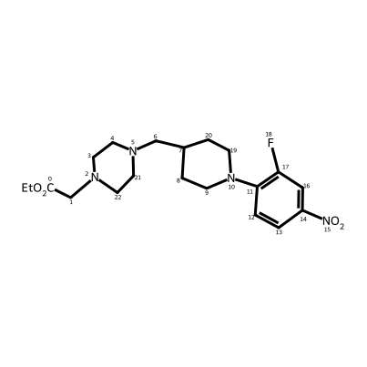 CCOC(=O)CN1CCN(CC2CCN(c3ccc([N+](=O)[O-])cc3F)CC2)CC1